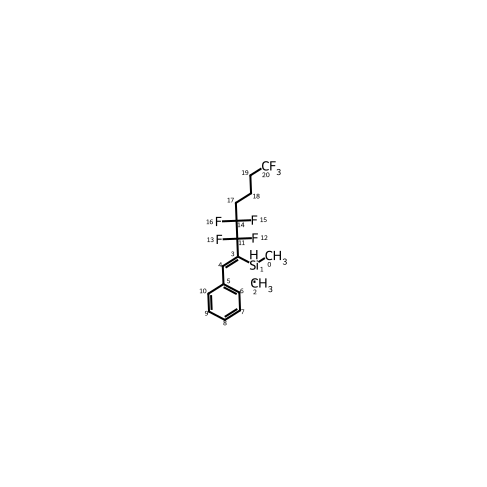 C[SiH](C)C(=Cc1ccccc1)C(F)(F)C(F)(F)CCCC(F)(F)F